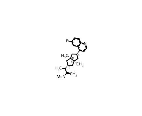 C=C(NC)C(C)[C@@H]1C[C@]2(C)C[C@H](c3ccnc4ccc(F)cc34)C[C@]2(C)C1